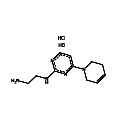 Cl.Cl.NCCNc1nccc(N2CC=CCC2)n1